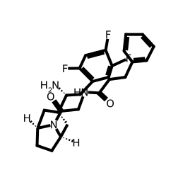 N[C@H](Cc1cc(F)c(F)cc1F)[C@@H]1C[C@H]2CC[C@@H](C1)N2C(=O)CNC(=O)CCc1ccccc1